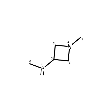 CPC1CN(C)C1